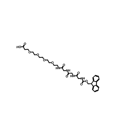 O=C(O)CCOCCOCCOCCOCCNC(=O)CNC(=O)CNC(=O)CNC(=O)OCC1c2ccccc2-c2ccccc21